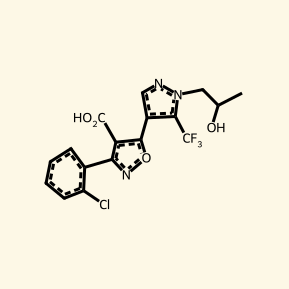 CC(O)Cn1ncc(-c2onc(-c3ccccc3Cl)c2C(=O)O)c1C(F)(F)F